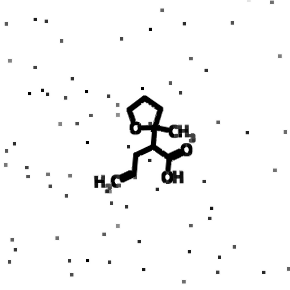 C=CCC(C(=O)O)C1(C)CCCO1